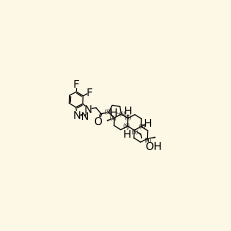 CC[C@]12CC[C@@](C)(O)C[C@H]1CC[C@H]1[C@@H]3CC[C@H](C(=O)Cn4nnc5ccc(F)c(F)c54)[C@@]3(C)CC[C@@H]12